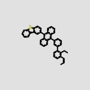 C/C=C\c1cccc(-c2cccc(-c3c4ccccc4c(-c4ccc5sc6ccccc6c5c4)c4ccccc34)c2)c1CC